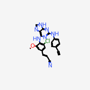 C#Cc1ccc(Nc2nc(Nc3c(Cl)cc(/C=C/C#N)cc3OC)c3nc[nH]c3n2)cc1